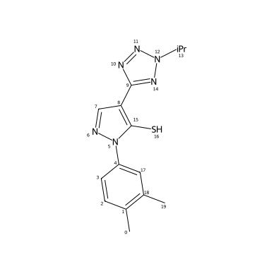 Cc1ccc(-n2ncc(-c3nnn(C(C)C)n3)c2S)cc1C